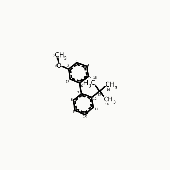 COc1cccc(-c2ccccc2C(C)(C)C)c1